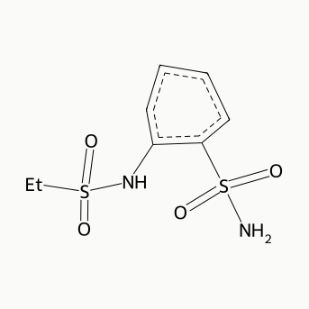 CCS(=O)(=O)Nc1ccccc1S(N)(=O)=O